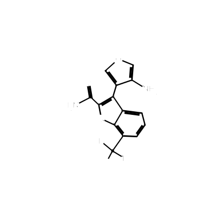 NC(=O)c1sc2c(C(F)(F)F)cccc2c1-c1cocc1N